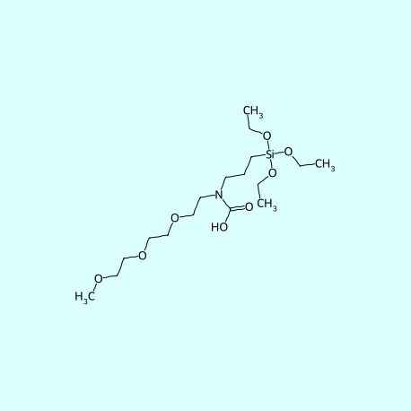 CCO[Si](CCCN(CCOCCOCCOC)C(=O)O)(OCC)OCC